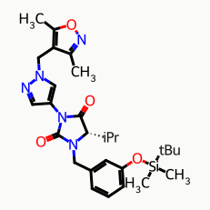 Cc1noc(C)c1Cn1cc(N2C(=O)[C@H](C(C)C)N(Cc3cccc(O[Si](C)(C)C(C)(C)C)c3)C2=O)cn1